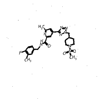 Cc1cc(-c2nnn(CC3CCN(S(C)(=O)=O)CC3)n2)cc(C(=O)NCc2ccc(F)c(C)c2)n1